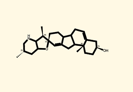 C[C@@H]1CNC2C(C1)O[C@@]1(C=C3CC4C(CC=C5C[C@@H](O)CC[C@@]54C)C3CC1)[C@@H]2C